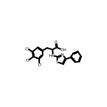 O=C(O)C(Cc1cc(Cl)c(Cl)c(Cl)c1)Nc1nc(-c2ccccc2)cs1